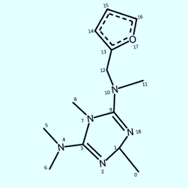 CC1N=C(N(C)C)N(C)C(N(C)Cc2ccco2)=N1